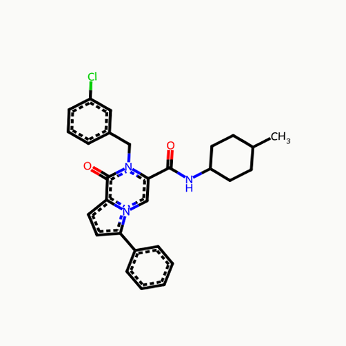 CC1CCC(NC(=O)c2cn3c(-c4ccccc4)ccc3c(=O)n2Cc2cccc(Cl)c2)CC1